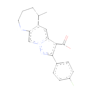 CC1CCCNc2cn3nc(-c4ccc(F)cc4)c(C(=O)O)c3cc21